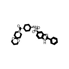 O=C([C@H]1CC[C@H](NS(=O)(=O)c2ccc3[nH]c(-c4ccccc4)nc3c2)CC1)N1CCC2(CC1)OCCCO2